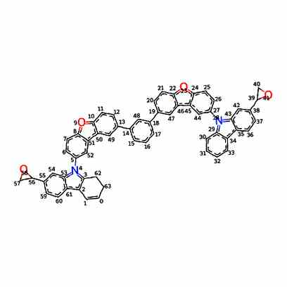 C1=Cc2c(n(-c3ccc4oc5ccc(-c6cccc(-c7ccc8oc9ccc(-n%10c%11ccccc%11c%11ccc(C%12CO%12)cc%11%10)cc9c8c7)c6)cc5c4c3)c3cc(C4CO4)ccc23)CC1